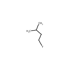 CC(C)C[CH2][Y]